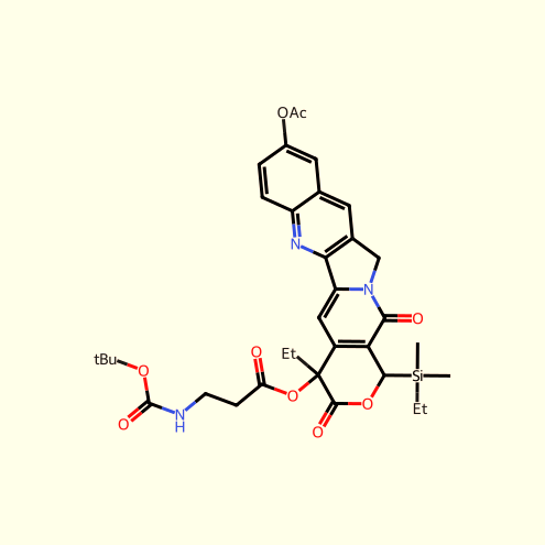 CCC1(OC(=O)CCNC(=O)OC(C)(C)C)C(=O)OC([Si](C)(C)CC)c2c1cc1n(c2=O)Cc2cc3cc(OC(C)=O)ccc3nc2-1